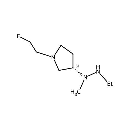 CCNN(C)[C@H]1CCN(CCF)C1